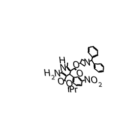 CC1=C(C(=O)OC2CN(C(c3ccccc3)c3ccccc3)C2)C(c2cccc([N+](=O)[O-])c2)C(C(=O)OC(C)C)=C(N)N1